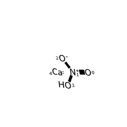 O=[N+]([O-])O.[Ca]